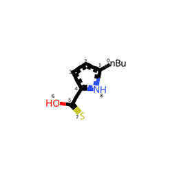 CCCCc1ccc(C(O)=S)[nH]1